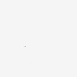 CCCCCCC(CCCC=O)CCCCCC